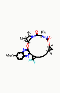 CC[C@@H]1[C@@H]2CN(C(=O)[C@H](C(C)(C)C)NC(=O)O[C@]3(C)C[C@H]3CCCC3C(c4nc5ccc(OC)cc5nc4O2)C3(F)F)[C@@H]1C(C)=O